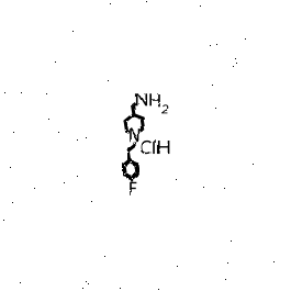 Cl.NCC1CCN(CCc2ccc(F)cc2)CC1